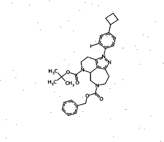 CC(C)(C)OC(=O)N1CCc2c3c(nn2-c2ccc(C4CCC4)cc2I)CCN(C(=O)OCc2ccccc2)CC31